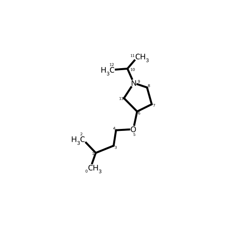 CC(C)CCOC1CCN(C(C)C)C1